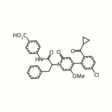 COc1cn(C(Cc2ccccc2)C(=O)Nc2ccc(C(=O)O)cc2)c(=O)cc1-c1cc(Cl)ccc1C(=O)C1CC1